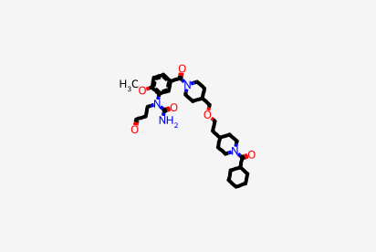 COc1ccc(C(=O)N2CCC(COCCC3CCN(C(=O)C4CCCCC4)CC3)CC2)cc1N(CCC=O)C(N)=O